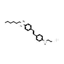 CCCCCCS(=O)(=O)c1ccc(C=Cc2ccc(N(C)CCO)cc2)cc1